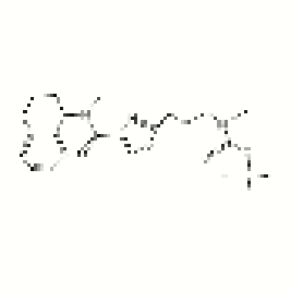 CN(CCCc1nc(C(=O)N(C)C2CCCc3ccccc32)cs1)C(=O)OC(C)(C)C